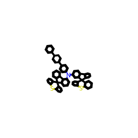 C1=CC(c2ccccc2)CC=C1c1ccc(N(c2ccc3c(c2)C2(c4ccccc4Sc4ccccc42)c2ccccc2-3)c2cccc3c2-c2ccccc2C32c3ccccc3Sc3ccccc32)cc1